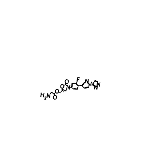 NCC(=O)OC[C@H]1CN(c2ccc(-c3ccc(-n4ccnn4)nc3)c(F)c2)C(=O)O1